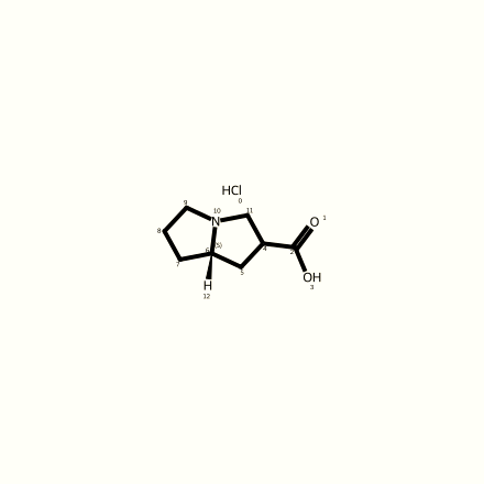 Cl.O=C(O)C1C[C@@H]2CCCN2C1